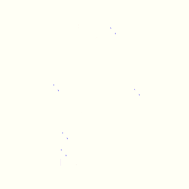 C=Nc1cc(C(=O)N2CCCCC2)cc(-c2nccs2)c1OCN1CC2CCC(C1)N2